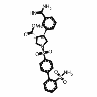 COC(=O)[C@H]1CN(S(=O)(=O)c2ccc(-c3ccccc3S(N)(=O)=O)cc2)C[C@@H]1c1cccc(C(=N)N)c1